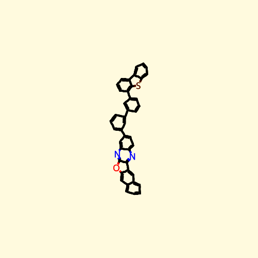 c1cc(-c2cccc(-c3cccc4c3sc3ccccc34)c2)cc(-c2ccc3nc4c(nc3c2)oc2cc3ccccc3cc24)c1